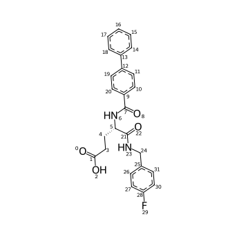 O=C(O)CC[C@H](NC(=O)c1ccc(-c2ccccc2)cc1)C(=O)NCc1ccc(F)cc1